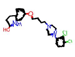 OC1CCc2ccc(OCCCCN3CCN(c4cccc(Cl)c4Cl)CC3)cc2N1